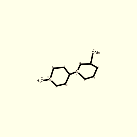 COC1CCCN(C2CCN(C)CC2)C1